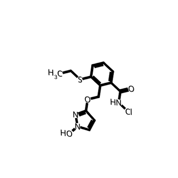 CCSc1cccc(C(=O)NCl)c1COc1ccn(O)n1